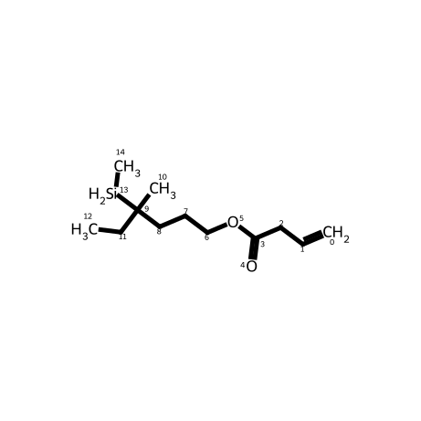 C=CCC(=O)OCCCC(C)(CC)[SiH2]C